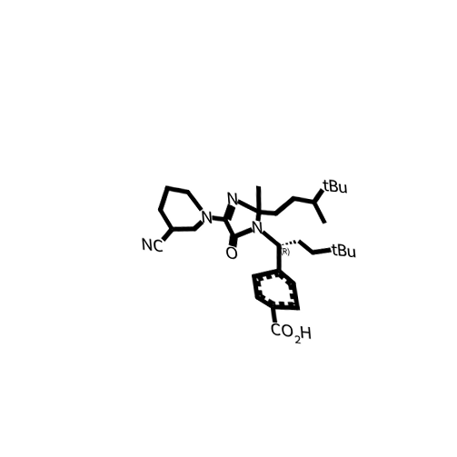 CC(CCC1(C)N=C(N2CCCC(C#N)C2)C(=O)N1[C@H](CCC(C)(C)C)c1ccc(C(=O)O)cc1)C(C)(C)C